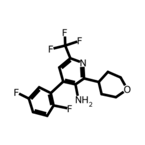 Nc1c(-c2cc(F)ccc2F)cc(C(F)(F)F)nc1C1CCOCC1